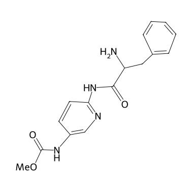 COC(=O)Nc1ccc(NC(=O)C(N)Cc2ccccc2)nc1